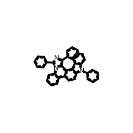 c1ccc(-c2nc(-c3ccccc3)n3c4ccccc4c4ccc5c(c6ccccc6n5-c5ccccc5)c4c23)cc1